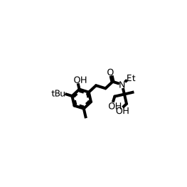 CCN(C(=O)CCc1cc(C)cc(C(C)(C)C)c1O)C(C)(CO)CO